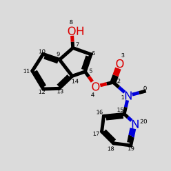 CN(C(=O)OC1=CC(O)c2ccccc21)c1ccccn1